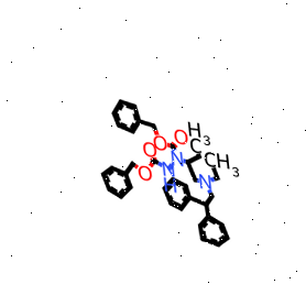 CCC(CN(CC)CC(c1ccccc1)c1ccccc1)N(NC(=O)OCc1ccccc1)C(=O)OCc1ccccc1